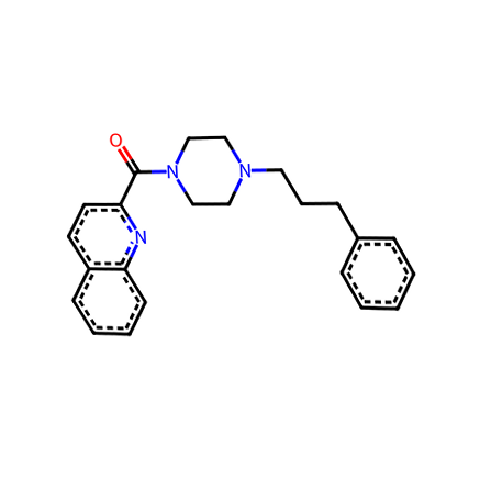 O=C(c1ccc2ccccc2n1)N1CCN(CCCc2ccccc2)CC1